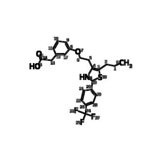 CCCC1=C(CCOc2cccc(CC(=O)O)c2)NC(c2ccc(C(F)(F)F)cc2)S1